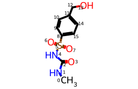 CNC(=O)NS(=O)(=O)c1ccc(CO)cc1